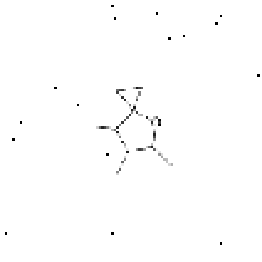 CC1OC2(CC2)C(C)C1C